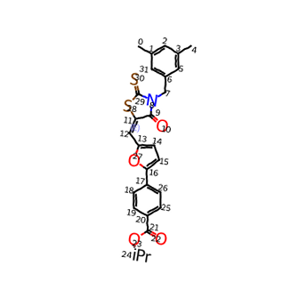 Cc1cc(C)cc(CN2C(=O)/C(=C\c3ccc(-c4ccc(C(=O)OC(C)C)cc4)o3)SC2=S)c1